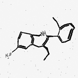 Bc1ccc2[nH]c(-c3ccccc3C)c(CC)c2c1